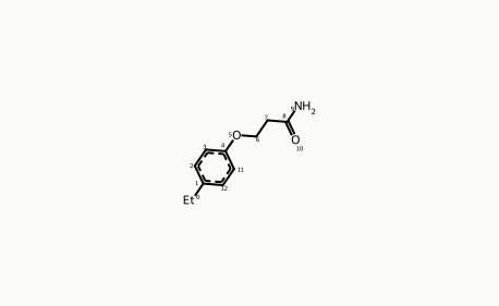 CCc1ccc(OCCC(N)=O)cc1